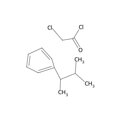 CC(C)C(C)c1ccccc1.O=C(Cl)CCl